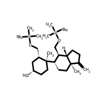 C=C1CC[C@H]2[C@H](CO[Si](C)(C)C(C)(C)C)[C@@H]([C@@]3(C)CC[C@H](O)C[C@@H]3CO[Si](C)(C)C(C)(C)C)CC[C@]12C